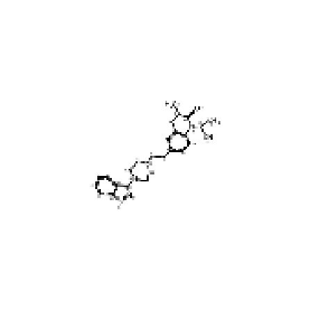 CC1Cc2cc(CCN3CCN(c4nsc5ccccc45)CC3)ccc2N(C(C)C#N)C1=O